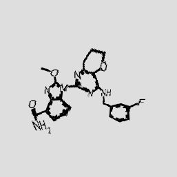 COc1nc2c(C(N)=O)cccc2n1-c1nc2c(c(NCc3cccc(F)c3)n1)OCCC2